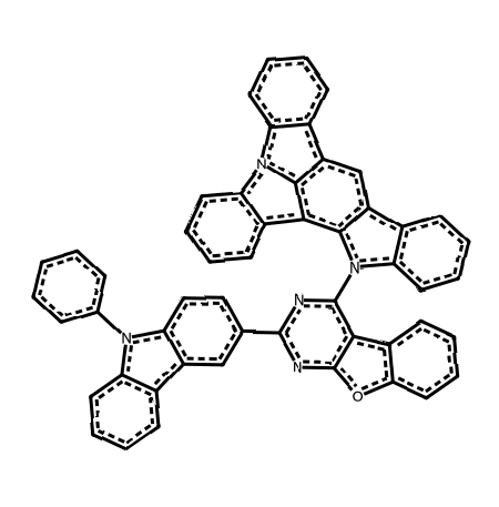 c1ccc(-n2c3ccccc3c3cc(-c4nc(-n5c6ccccc6c6cc7c8ccccc8n8c9ccccc9c(c65)c78)c5c(n4)oc4ccccc45)ccc32)cc1